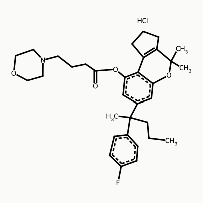 CCCC(C)(c1ccc(F)cc1)c1cc(OC(=O)CCCN2CCOCC2)c2c(c1)OC(C)(C)C1=C2CCC1.Cl